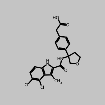 Cc1c(C(=O)NC2(c3ccc(CC(=O)O)cc3)CCOC2)[nH]c2ccc(Cl)c(Cl)c12